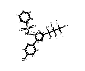 O=S(=O)(Nn1nc(C(F)(F)C(F)(F)C(F)(F)F)cc1-c1ccc(Cl)cc1)c1ccccc1